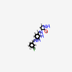 O=C1NCC[C@@H]1NCc1ccc(NCc2cccc(F)c2)cc1